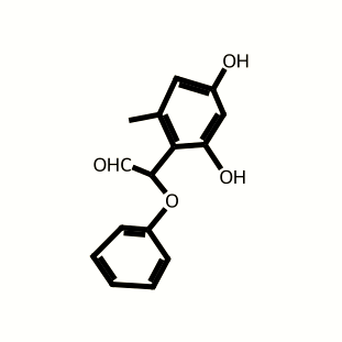 Cc1cc(O)cc(O)c1C(C=O)Oc1ccccc1